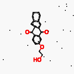 O=C1c2ccc(OCCO)cc2C(=O)c2cc3ccccc3cc21